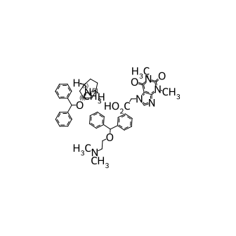 CN(C)CCOC(c1ccccc1)c1ccccc1.CN1[C@@H]2CC[C@H]1C[C@@H](OC(c1ccccc1)c1ccccc1)C2.Cn1c(=O)c2c(ncn2CC(=O)O)n(C)c1=O